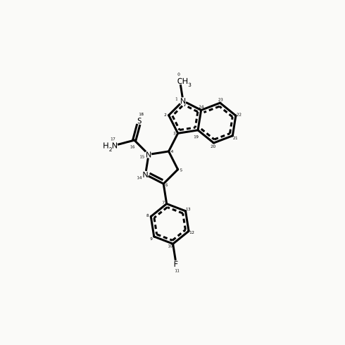 Cn1cc(C2CC(c3ccc(F)cc3)=NN2C(N)=S)c2ccccc21